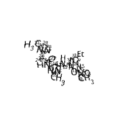 CCc1cc(N2CC(=O)N(C)C2=O)c2nc(CNc3cc(NC(=O)[C@H]4C[C@@H]4c4nccc(C)n4)nc(C)n3)cn2c1